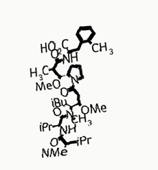 CC[C@H](C)[C@@H](C(CC(=O)N1CCC[C@H]1C(OC)[C@@H](C)C(=O)N[C@@H](Cc1ccccc1C)C(=O)O)OC)N(C)C(=O)[C@@H](NC(=O)[C@@H](NC)C(C)C)C(C)C